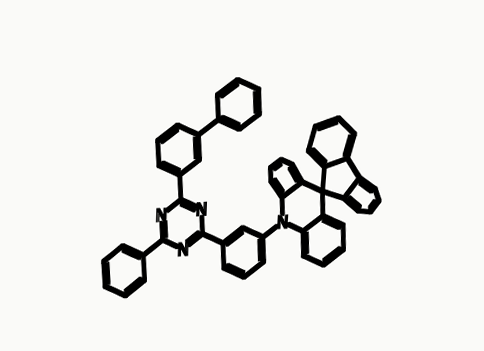 c1ccc(-c2cccc(-c3nc(-c4ccccc4)nc(-c4cccc(N5c6ccccc6C6(c7ccccc7-c7ccccc76)c6ccccc65)c4)n3)c2)cc1